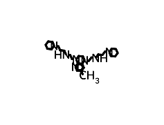 Cc1cnc2c(c1)N(CCNCCCN1CCCCC1)CCN2CCNCCCN1CCCCC1